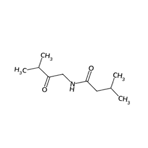 CC(C)CC(=O)NCC(=O)C(C)C